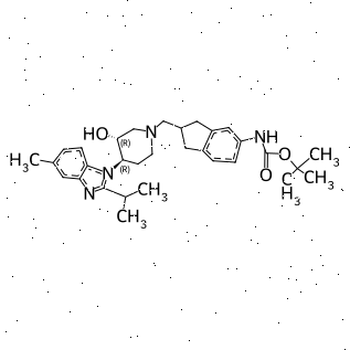 Cc1ccc2c(c1)nc(C(C)C)n2[C@@H]1CCN(CC2Cc3ccc(NC(=O)OC(C)(C)C)cc3C2)C[C@H]1O